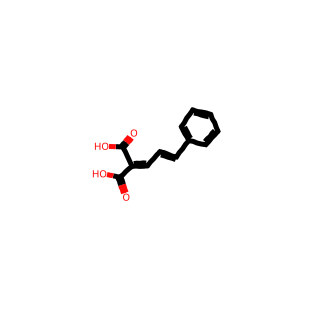 O=C(O)C(=CC=Cc1ccccc1)C(=O)O